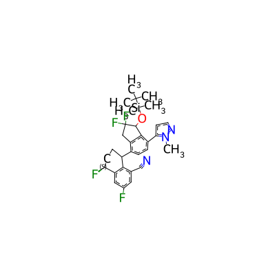 Cn1nccc1-c1ccc(C2CC[C@H](F)c3cc(F)cc(C#N)c32)c2c1C(O[Si](C)(C)C(C)(C)C)C(F)(F)C2